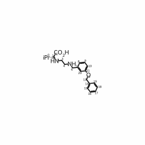 CC(C)[C@@H](NCCNCc1cccc(OCc2ccccc2)c1)C(=O)O